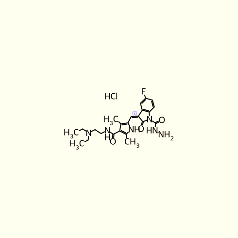 CCN(CC)CCNC(=O)c1c(C)[nH]c(/C=C2\C(=O)N(C(=O)NN)c3ccc(F)cc32)c1C.Cl